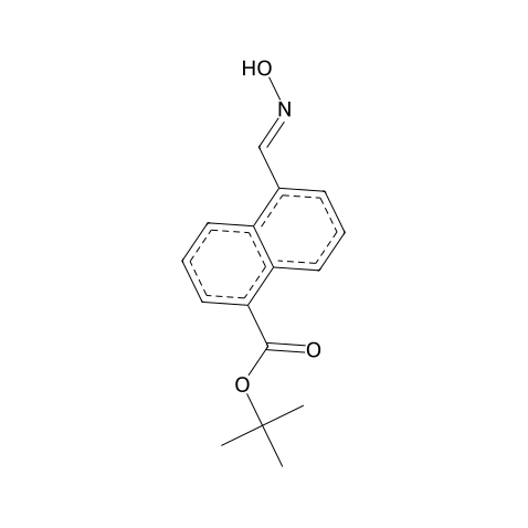 CC(C)(C)OC(=O)c1cccc2c(C=NO)cccc12